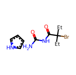 CCC(Br)(CC)C(=O)NC(N)=O.c1cc[nH]c1